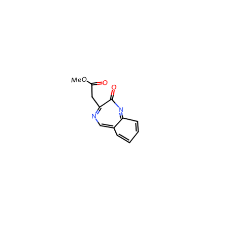 COC(=O)Cc1ncc2ccccc2nc1=O